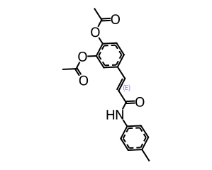 CC(=O)Oc1ccc(/C=C/C(=O)Nc2ccc(C)cc2)cc1OC(C)=O